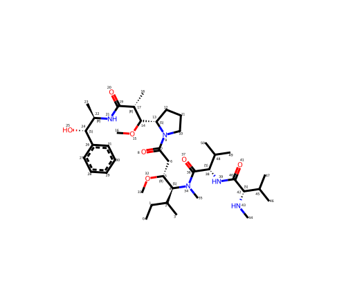 CCC(C)[C@@H]([C@@H](CC(=O)N1CCC[C@H]1C(OC)[C@@H](C)C(=O)N[C@H](C)[C@@H](O)c1ccccc1)OC)N(C)C(=O)[C@@H](NC(=O)[C@@H](NC)C(C)C)C(C)C